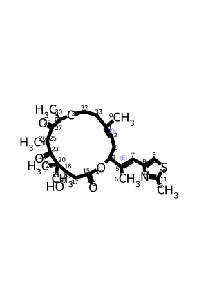 C/C1=C/CC(/C(C)=C/c2csc(C)n2)OC(=O)C[C@H](O)C(C)(C)C(=O)[C@H](C)C(=O)[C@@H](C)CCC1